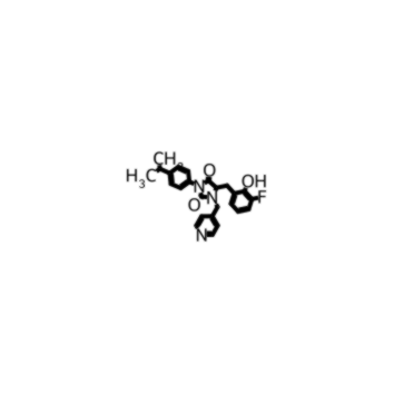 CC(C)c1ccc(N2C(=O)C(Cc3cccc(F)c3O)N(Cc3ccncc3)C2=O)cc1